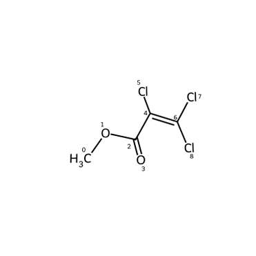 COC(=O)C(Cl)=C(Cl)Cl